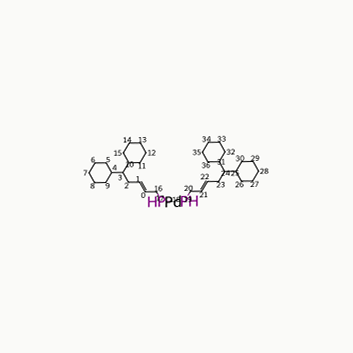 C(=CCC(C1CCCCC1)C1CCCCC1)C[PH][Pd][PH]CC=CCC(C1CCCCC1)C1CCCCC1